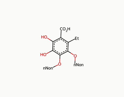 CCCCCCCCCOc1c(O)c(O)c(C(=O)O)c(CC)c1OCCCCCCCCC